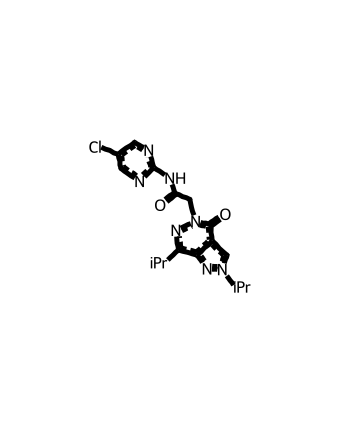 CC(C)c1nn(CC(=O)Nc2ncc(Cl)cn2)c(=O)c2cn(C(C)C)nc12